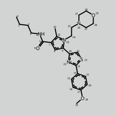 CCCCNC(=O)c1cc(-c2csc(-c3ccc(OC)cc3)n2)n(CCN2CCOCC2)c1C